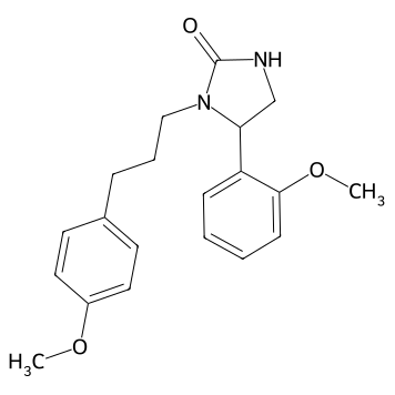 COc1ccc(CCCN2C(=O)NCC2c2ccccc2OC)cc1